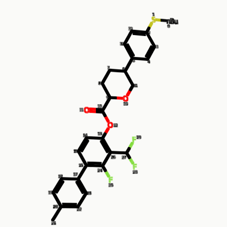 CCCCSc1ccc(C2CCC(C(=O)Oc3ccc(-c4ccc(C)cc4)c(F)c3C(F)F)OC2)cc1